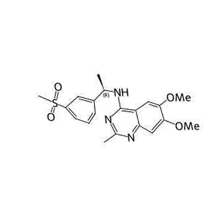 COc1cc2nc(C)nc(N[C@H](C)c3cccc(S(C)(=O)=O)c3)c2cc1OC